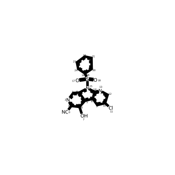 N#Cc1ncc2c(c1O)c1cc(Cl)cnc1n2S(=O)(=O)c1ccccc1